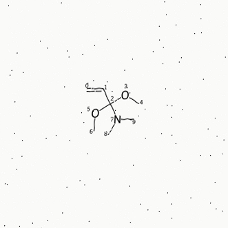 C=CC(OC)(OC)N(C)C